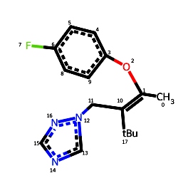 CC(Oc1ccc(F)cc1)=C(Cn1cncn1)C(C)(C)C